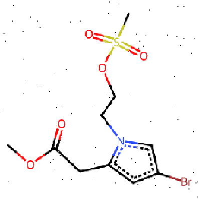 COC(=O)Cc1cc(Br)cn1CCOS(C)(=O)=O